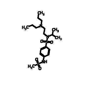 CCCN(CCC)CCN(C(C)C)S(=O)(=O)c1ccc(NS(C)(=O)=O)cc1